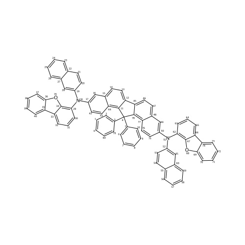 c1ccc(C2(c3ccccc3)c3c(ccc4cc(N(c5ccc6ccccc6c5)c5cccc6c5oc5ccccc56)ccc34)-c3ccc4cc(N(c5ccc6ccccc6c5)c5cccc6c5oc5ccccc56)ccc4c32)cc1